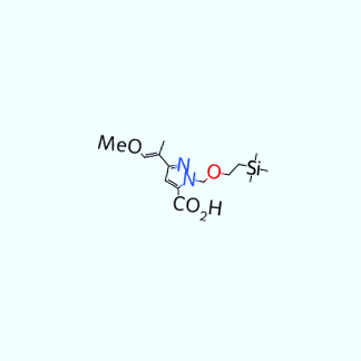 COC=C(C)c1cc(C(=O)O)n(COCC[Si](C)(C)C)n1